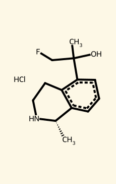 C[C@@H]1NCCc2c1cccc2C(C)(O)CF.Cl